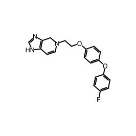 Fc1ccc(Oc2ccc(OCCN3C=Cc4[nH]cnc4C3)cc2)cc1